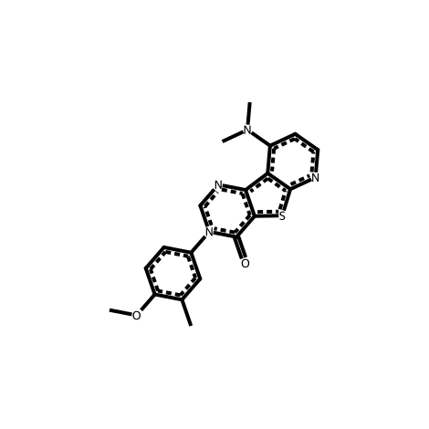 COc1ccc(-n2cnc3c(sc4nccc(N(C)C)c43)c2=O)cc1C